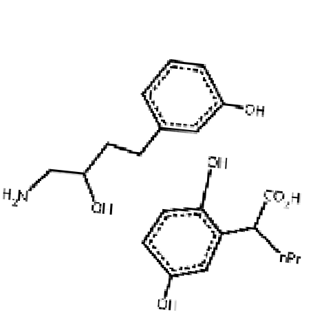 CCCC(C(=O)O)c1cc(O)ccc1O.NCC(O)CCc1cccc(O)c1